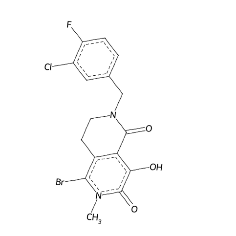 Cn1c(Br)c2c(c(O)c1=O)C(=O)N(Cc1ccc(F)c(Cl)c1)CC2